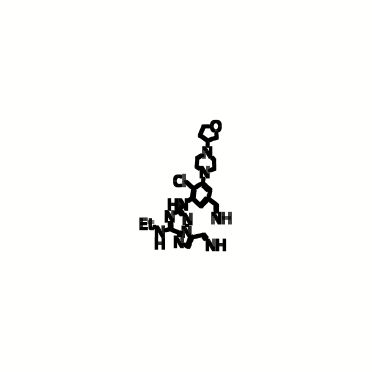 CCNc1nc(Nc2cc(C=N)cc(N3CCN(C4CCOC4)CC3)c2Cl)nn2c(C=N)cnc12